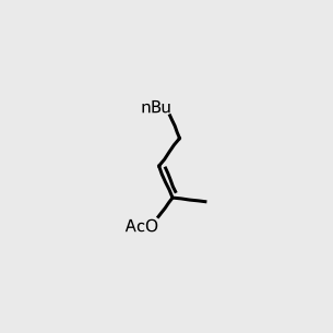 CCCCCC=C(C)OC(C)=O